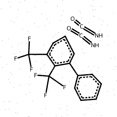 FC(F)(F)c1cccc(-c2ccccc2)c1C(F)(F)F.N=C=O.N=C=O